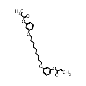 C=CC(=O)Oc1cccc(OCCCCCCCCCOc2cccc(OC(=O)C=C)c2)c1